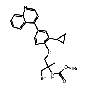 CC(C)CC(C)(COc1ccc(-c2ccnc3ccccc23)cc1C1CC1)NC(=O)OC(C)(C)C